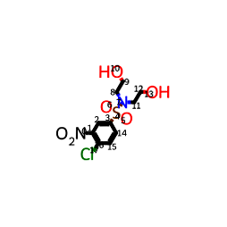 O=[N+]([O-])c1cc(S(=O)(=O)N(CCO)CCO)ccc1Cl